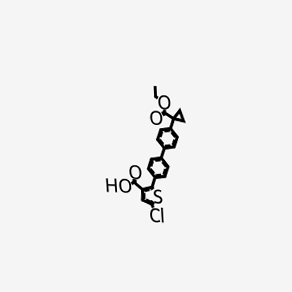 CCOC(=O)C1(c2ccc(-c3ccc(-c4sc(Cl)cc4C(=O)O)cc3)cc2)CC1